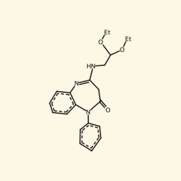 CCOC(CNC1=Nc2ccccc2N(c2ccccc2)C(=O)C1)OCC